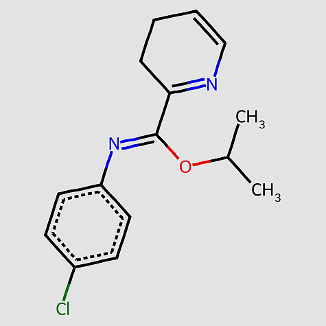 CC(C)OC(=Nc1ccc(Cl)cc1)C1=NC=CCC1